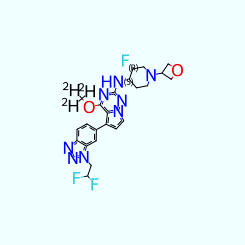 [2H]C([2H])([2H])Oc1nc(N[C@H]2CCN(C3COC3)C[C@H]2F)nn2ccc(-c3ccc4nnn(CC(F)F)c4c3)c12